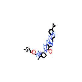 Cc1c2c(nn1COCC[Si](C)(C)C)C(NC(=O)c1cnn(Cc3cn4cc(C5CC5)ccc4n3)c1)CC2